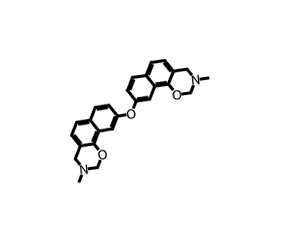 CN1COc2c(ccc3ccc(Oc4ccc5ccc6c(c5c4)OCN(C)C6)cc23)C1